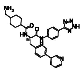 NCC1CCC(C(=O)N[C@@H](Cc2ccc(-c3cccnc3)cc2)C(=O)Nc2ccc(-c3nn[nH]n3)cc2)CC1